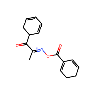 C/C(=N\OC(=O)C1=CCCC=C1)C(=O)C1C=CC=CC1